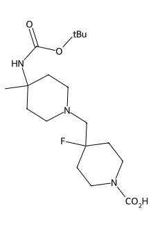 CC1(NC(=O)OC(C)(C)C)CCN(CC2(F)CCN(C(=O)O)CC2)CC1